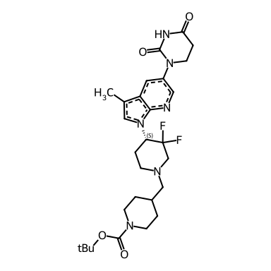 Cc1cn([C@H]2CCN(CC3CCN(C(=O)OC(C)(C)C)CC3)CC2(F)F)c2ncc(N3CCC(=O)NC3=O)cc12